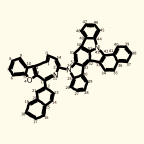 C1=C\c2c(oc3ccccc23)\C(c2ccc3ccccc3c2)=N/C(n2c3ccccc3c3c4c5ccc6ccccc6c5n5c6ccccc6c(cc32)c45)=C\1